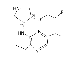 CCc1cnc(CC)c(N[C@@H]2CNC[C@@H]2OCCF)n1